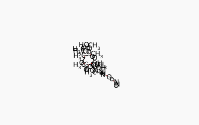 CC[C@H]1OC(=O)C[C@@H](O)[C@H](C)[C@@H](O[C@@H]2O[C@H](C)[C@@H](O)[C@@H](N(C)CCc3cn(CCCOc4ccc(-c5conn5)cc4)nn3)[C@H]2O)[C@@H](CC=O)C[C@@H](C)C(=O)/C=C/C(C)=C/[C@@H]1COC1O[C@H](C)[C@@H](O)[C@@H](OC)[C@H]1OC